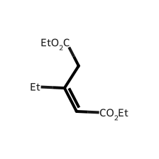 CCOC(=O)C=C(CC)CC(=O)OCC